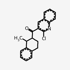 CC1c2ccccc2CCC1C(=O)c1cc2ccccc2nc1Cl